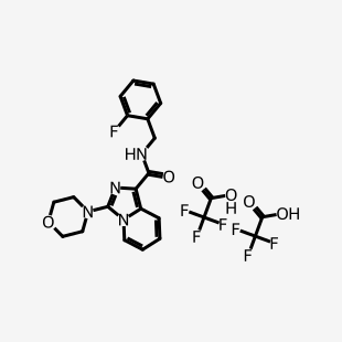 O=C(NCc1ccccc1F)c1nc(N2CCOCC2)n2ccccc12.O=C(O)C(F)(F)F.O=C(O)C(F)(F)F